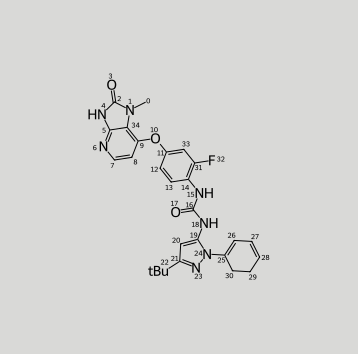 Cn1c(=O)[nH]c2nccc(Oc3ccc(NC(=O)Nc4cc(C(C)(C)C)nn4C4=CC=CCC4)c(F)c3)c21